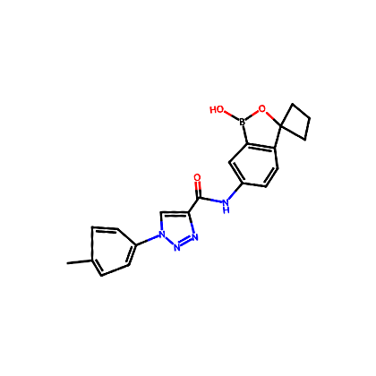 Cc1ccc(-n2cc(C(=O)Nc3ccc4c(c3)B(O)OC43CCC3)nn2)cc1